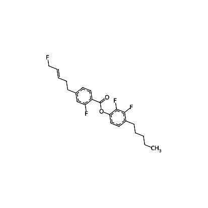 CCCCCc1ccc(OC(=O)c2ccc(CC/C=C/CF)cc2F)c(F)c1F